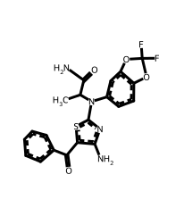 CC(C(N)=O)N(c1ccc2c(c1)OC(F)(F)O2)c1nc(N)c(C(=O)c2ccccc2)s1